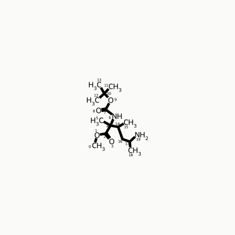 COC(=O)C(C)(NC(=O)OC(C)(C)C)C(C)CC(C)N